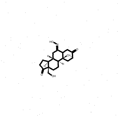 C[C@]12CCC(=O)CC1C(=NO)C[C@H]1[C@@H]3CCC(=O)[C@@]3(CO)CC[C@@H]12